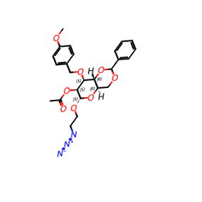 COc1ccc(CO[C@@H]2[C@H](OC(C)=O)[C@@H](OCCN=[N+]=[N-])O[C@@H]3COC(c4ccccc4)O[C@@H]23)cc1